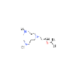 CCC(CC)O[SiH2]CCN(CCCN(C)CC)CCCN(C)CC